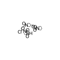 O=C1CCN(c2cc(C(=O)N3CCC(COOC(=O)N4CCCCC4)CC3)ccc2Cl)C(=O)N1